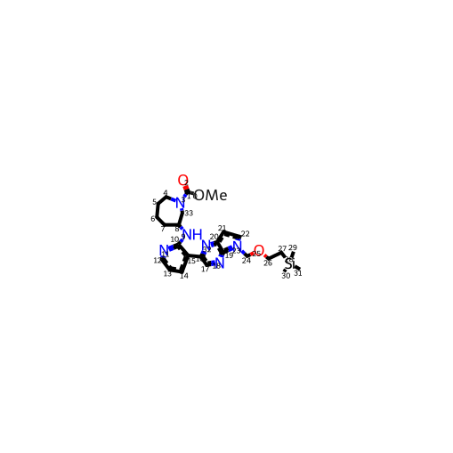 COC(=O)N1CCCCC(Nc2ncccc2-c2cnc3c(ccn3COCC[Si](C)(C)C)n2)C1